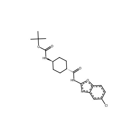 CC(C)(C)OC(=O)N[C@H]1CC[C@H](C(=O)Nc2nc3cc(Cl)ccc3o2)CC1